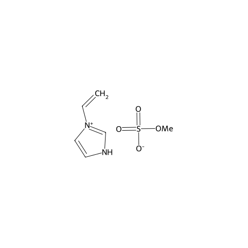 C=C[n+]1cc[nH]c1.COS(=O)(=O)[O-]